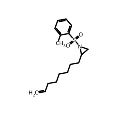 C=CCCCCCCC1CN1S(=O)(=O)c1ccccc1C